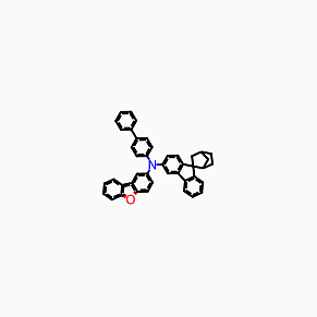 c1ccc(-c2ccc(N(c3ccc4c(c3)-c3ccccc3C43CC4CCC3C4)c3ccc4oc5ccccc5c4c3)cc2)cc1